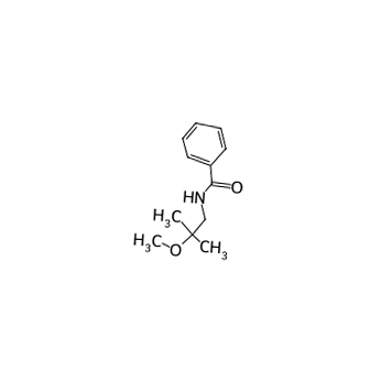 COC(C)(C)CNC(=O)c1ccccc1